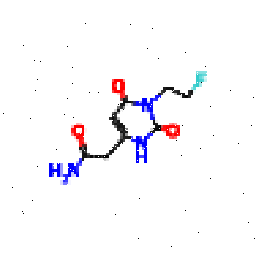 NC(=O)Cc1cc(=O)n(CCF)c(=O)[nH]1